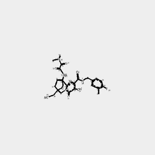 Cc1cc(CNC(=O)c2nc3n(c(=O)c2O)CC2(CC#N)CCC3(NC(=O)C(=O)N(C)C)CC2)ccc1F